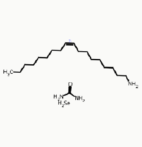 CCCCCCCC/C=C\CCCCCCCCN.NC(N)=O.[SeH2]